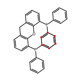 c1ccc(P(c2ccccc2)c2cccc3c2Oc2c(cccc2P(c2ccccc2)c2ccccc2)C3)cc1